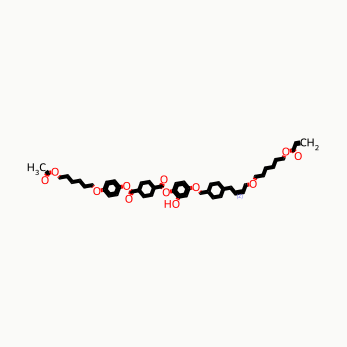 C=CC(=O)OCCCCCCOC/C=C\CC1CCC(COc2ccc(OC(=O)C3CCC(C(=O)Oc4ccc(OCCCCCCOC(C)=O)cc4)CC3)c(O)c2)CC1